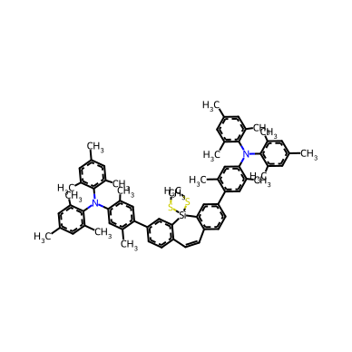 CS[Si]1(SC)c2cc(-c3cc(C)c(N(c4c(C)cc(C)cc4C)c4c(C)cc(C)cc4C)cc3C)ccc2C=Cc2ccc(-c3cc(C)c(N(c4c(C)cc(C)cc4C)c4c(C)cc(C)cc4C)cc3C)cc21